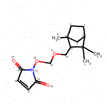 CC12CCC(C1)C(C)(C)C2COCON1C(=O)C=CC1=O